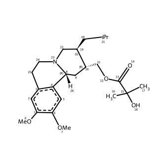 COc1cc2c(cc1OC)[C@H]1C[C@@H](COC(=O)C(C)(C)O)[C@H](CC(C)C)CN1CC2